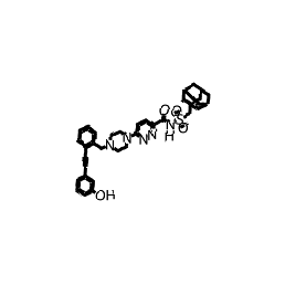 O=C(NS(=O)(=O)CC12CC3CC(CC(C3)C1)C2)c1ccc(N2CCN(Cc3ccccc3C#Cc3cccc(O)c3)CC2)nn1